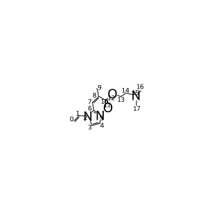 C=Cn1ccnc1C=C(C)C(=O)OCCN(C)C